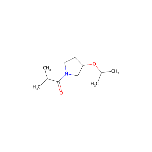 CC(C)OC1CCN(C(=O)C(C)C)C1